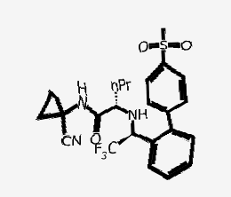 CCC[C@H](N[C@@H](c1ccccc1-c1ccc(S(C)(=O)=O)cc1)C(F)(F)F)C(=O)NC1(C#N)CC1